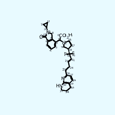 O=C(O)C(c1cccc2c1CN(C1CC1)C2=O)N1CCC(C(F)(F)CCCCc2ccc3c(n2)NCCC3)C1